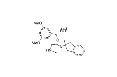 COc1cc(COCC2(N3CCNCC3)Cc3ccccc3C2)cc(OC)c1.Cl.Cl